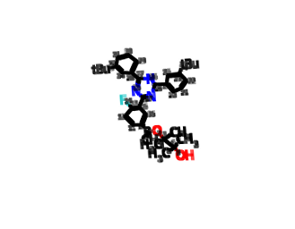 CB(OC(C)(C)C(C)(C)O)c1ccc(F)c(-c2nc(-c3cccc(C(C)(C)C)c3)nc(-c3cccc(C(C)(C)C)c3)n2)c1